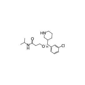 CC(C)NC(=O)CCO[C@@H](c1cccc(Cl)c1)C1CCCNC1